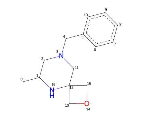 CC1CN(Cc2ccccc2)CC2(COC2)N1